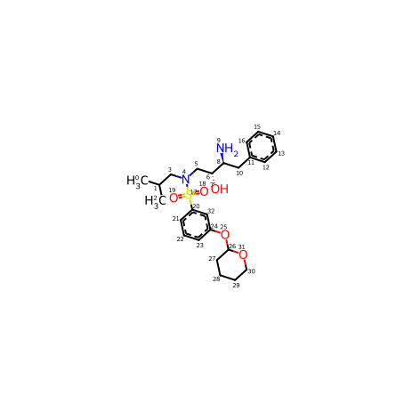 CC(C)CN(C[C@@H](O)[C@@H](N)Cc1ccccc1)S(=O)(=O)c1cccc(OC2CCCCO2)c1